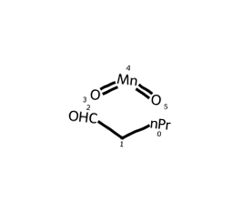 CCCCC=O.[O]=[Mn]=[O]